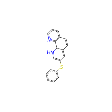 C1=Cc2cccnc2C2NC=C(Sc3ccccc3)C=C12